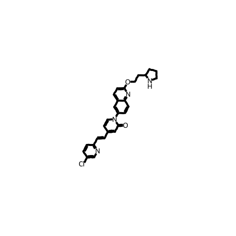 O=c1cc(/C=C/c2ccc(Cl)cn2)ccn1-c1ccc2nc(OCCC3CCCN3)ccc2c1